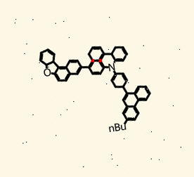 CCCCc1ccc2c(c1)cc(C1C=CC(N(C3=CC=CCC3C3=CCCC=C3)c3ccc(-c4ccc5c6c(ccc5c4)OC4C=CC=CC64)cc3)=CC1)c1ccccc12